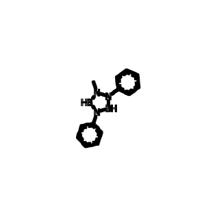 CN1BN(c2ccccc2)BN1c1ccccc1